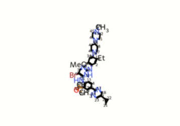 CCc1cc(Nc2ncc(Br)c(Nc3ccc(-c4ncc(C5CC5)cn4)cc3P(C)(C)=O)n2)c(OC)cc1N1CCC(N2CCN(C)CC2)CC1